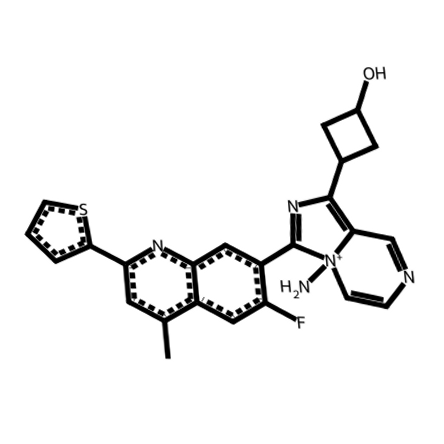 Cc1cc(-c2cccs2)nc2cc(C3=NC(C4CC(O)C4)=C4C=NC=C[N+]34N)c(F)cc12